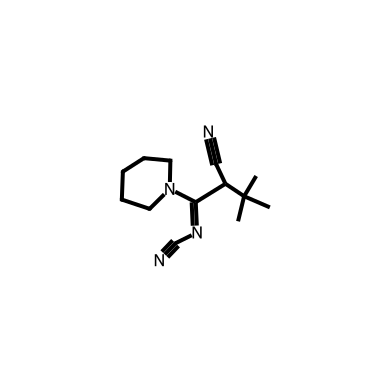 CC(C)(C)C(C#N)/C(=N/C#N)N1CCCCC1